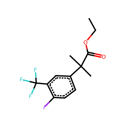 CCOC(=O)C(C)(C)c1ccc(I)c(C(F)(F)F)c1